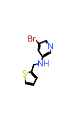 Brc1cncc(NCc2cccs2)c1